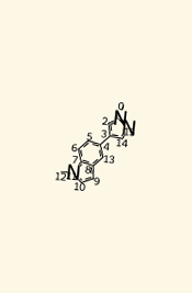 Cn1cc(-c2ccc3c(ccn3C)c2)cn1